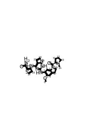 COc1cc2c(cc1Nc1nc(Nc3ccsc3C(N)=O)c3ccnc-3[nH]1)N(C(=O)[C@H]1CCCN1C)CC2